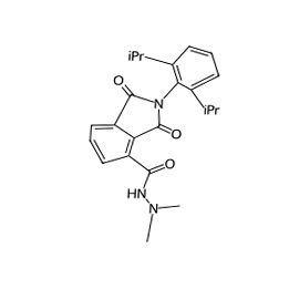 CC(C)c1cccc(C(C)C)c1N1C(=O)c2cccc(C(=O)NN(C)C)c2C1=O